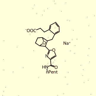 CCCCCNC(=O)c1coc(C2C3CCC(O3)C2Cc2ccccc2CCC(=O)[O-])n1.[Na+]